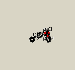 Nc1nnc(Cl)cc1N1C[C@H]2CC[C@@H](C1)N2c1cccc(CN2CCN(OC(=O)c3ccccc3)CC2)c1